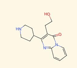 O=c1c(CCO)c(C2CCNCC2)nc2ccccn12